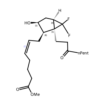 CCCCCC(=O)CC[C@]12[C@@H](C/C=C\CCCC(=O)OC)[C@@H](O)C[C@H]1C2(F)F